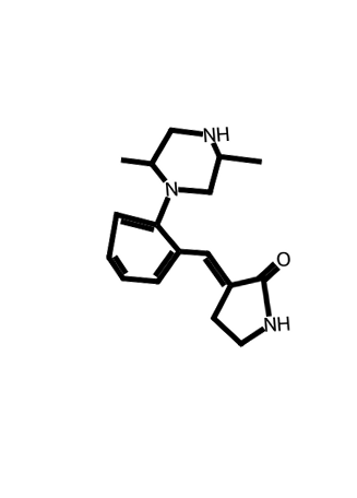 CC1CN(c2ccccc2/C=C2\CCNC2=O)C(C)CN1